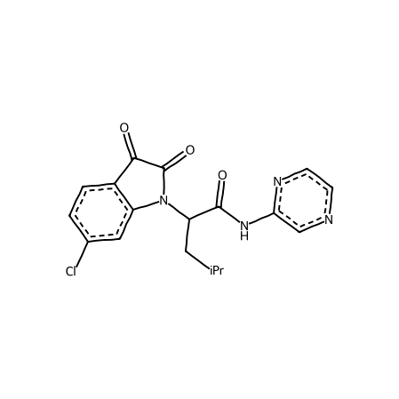 CC(C)CC(C(=O)Nc1cnccn1)N1C(=O)C(=O)c2ccc(Cl)cc21